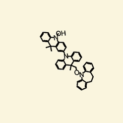 CC1(C)c2ccccc2N(O)c2ccc(N3c4ccccc4C(C)(CON4c5ccccc5CCc5ccccc54)c4ccccc43)cc21